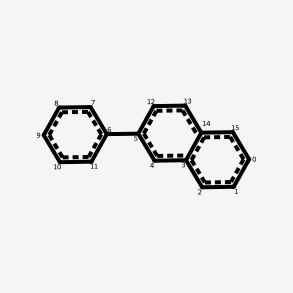 [c]1ccc2cc(-c3ccccc3)ccc2c1